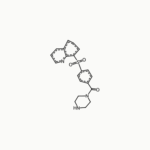 O=C(c1ccc(S(=O)(=O)c2cccc3cccnc23)cc1)N1CCNCC1